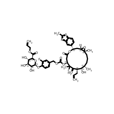 C=CCOC(=O)[C@H]1O[C@@H](Oc2ccc(COC(=O)O[C@H]3CC(=O)O[C@H](c4ccc5sc(C)nc5c4)C[C@@H]4O[C@]4(C)CCC[C@H](C)[C@H](O)[C@@H](CC=C)C(=O)C3(C)C)cc2F)[C@H](O)[C@@H](O)[C@@H]1O